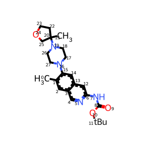 Cc1cc2cnc(NC(=O)OC(C)(C)C)cc2cc1N1CCN(C2(C)CCOC2)CC1